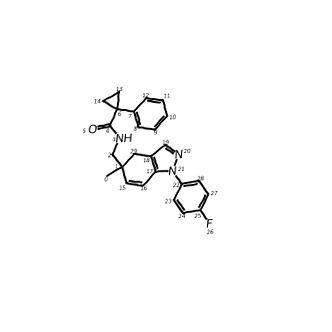 CC1(CNC(=O)C2(c3ccccc3)CC2)C=Cc2c(cnn2-c2ccc(F)cc2)C1